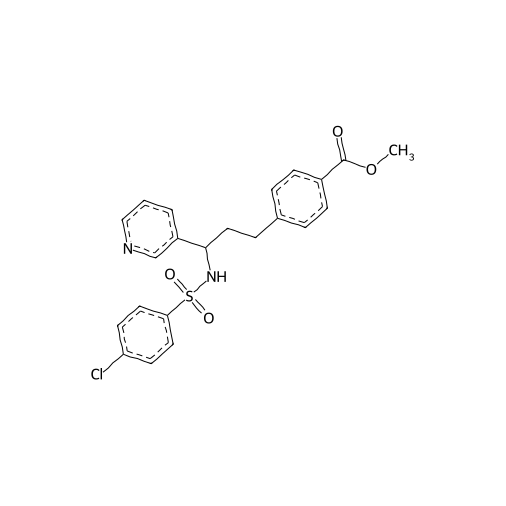 COC(=O)c1ccc(CCC(NS(=O)(=O)c2ccc(Cl)cc2)c2cccnc2)cc1